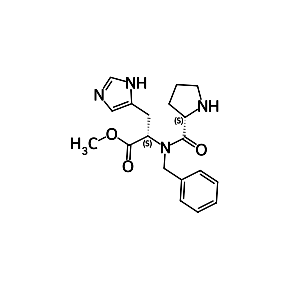 COC(=O)[C@H](Cc1cnc[nH]1)N(Cc1ccccc1)C(=O)[C@@H]1CCCN1